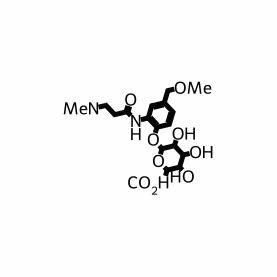 CNCCC(=O)Nc1cc(COC)ccc1OC1OC(C(=O)O)C(O)C(O)C1O